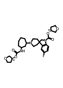 O=C(NC1CCCCC(N2CCC3(CC2)CN(C(=O)O[C@@H]2CCOC2)c2ccc(F)cc23)C1)O[C@H]1CCOC1